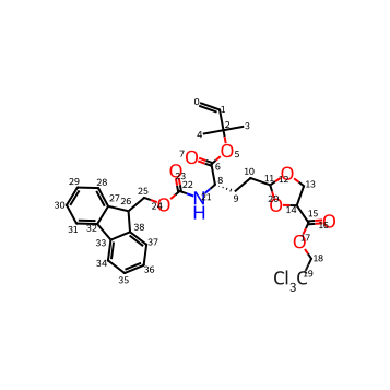 C=CC(C)(C)OC(=O)[C@H](CCC1OCC(C(=O)OCC(Cl)(Cl)Cl)O1)NC(=O)OCC1c2ccccc2-c2ccccc21